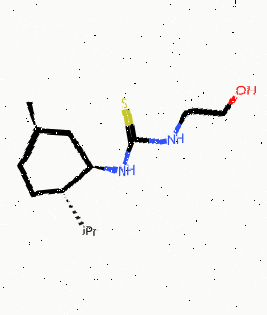 CC(C)[C@@H]1CC[C@@H](C)C[C@H]1NC(=S)NCCO